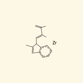 C=C(C)C(C)=CC1C(C)=Cc2ccccc21.[Zr]